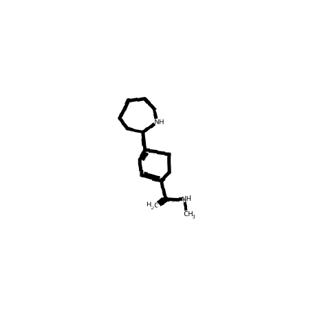 C=C(NC)C1=CC=C(C2CCCCCN2)CC1